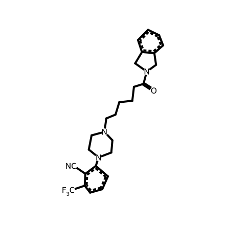 N#Cc1c(N2CCN(CCCCCC(=O)N3Cc4ccccc4C3)CC2)cccc1C(F)(F)F